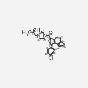 CC(C)CN1CCN(C(=O)c2nn(-c3ccc(Cl)cc3)c3c2CCc2sccc2-3)CC1